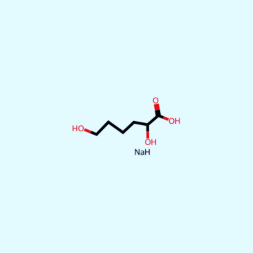 O=C(O)C(O)CCCCO.[NaH]